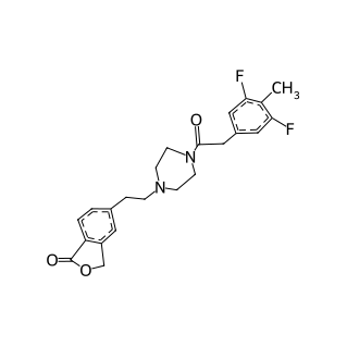 Cc1c(F)cc(CC(=O)N2CCN(CCc3ccc4c(c3)COC4=O)CC2)cc1F